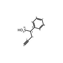 C#CCC(c1ccccc1)S(=O)(=O)O